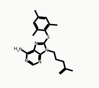 C=C(C)CCCn1c(Sc2c(C)cc(C)cc2C)nc2c(N)ncnc21